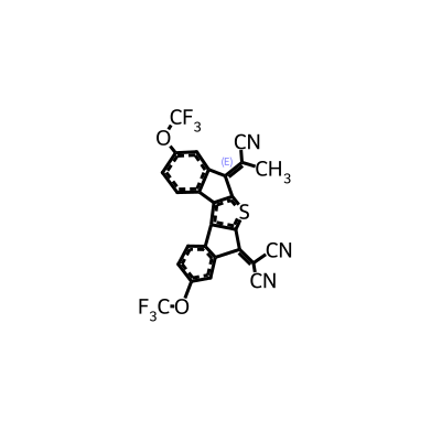 C/C(C#N)=C1/c2cc(OC(F)(F)F)ccc2-c2c1sc1c2-c2ccc(OC(F)(F)F)cc2C1=C(C#N)C#N